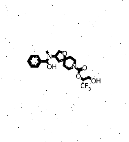 CN(C1COC2(CCN(C(=O)O[C@H](CO)C(F)(F)F)CC2)C1)C(O)c1ccccc1